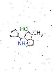 Cc1ccc(C(N)c2ccccc2)c2ccccc12.Cl